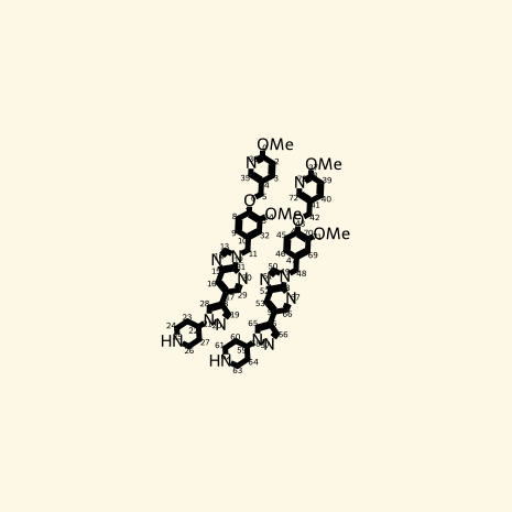 COc1ccc(COc2ccc(Cn3cnc4cc(-c5cnn(C6CCNCC6)c5)cnc43)cc2OC)cn1.COc1ccc(COc2ccc(Cn3cnc4cc(-c5cnn(C6CCNCC6)c5)cnc43)cc2OC)cn1